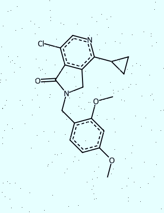 COc1ccc(CN2Cc3c(C4CC4)ncc(Cl)c3C2=O)c(OC)c1